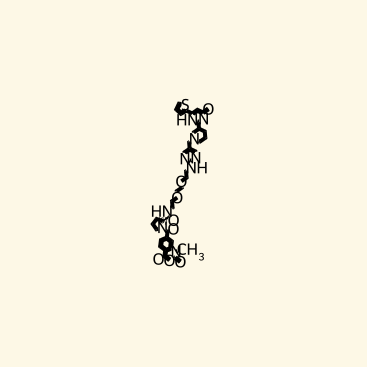 Cn1c(=O)oc(=O)c2ccc(C(=O)N3CCC[C@H]3C(=O)NCCOCCOCCNc3ncc(CN4CCCC(c5nc(=O)cc(-c6cccs6)[nH]5)C4)cn3)cc21